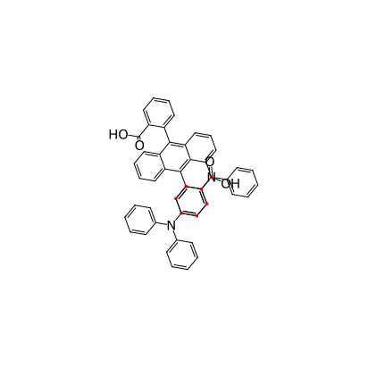 O=C(O)c1ccccc1-c1c2ccccc2c(-c2ccccc2C(=O)O)c2c(N(c3ccccc3)c3ccc(N(c4ccccc4)c4ccccc4)cc3)cccc12